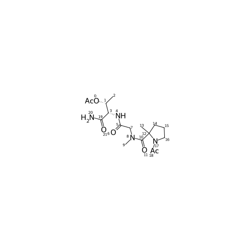 CC(=O)O[C@H](C)[C@H](NC(=O)CN(C)C(=O)C1(C)CCCN1C(C)=O)C(N)=O